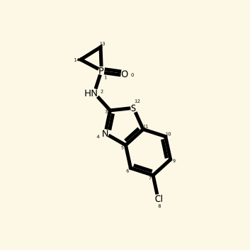 O=P1(Nc2nc3cc(Cl)ccc3s2)CC1